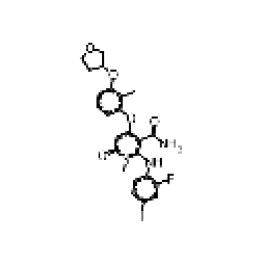 Cc1c(Oc2cc(=O)n(C)c(Nc3ccc(I)cc3F)c2C(N)=O)cccc1O[C@H]1CCOC1